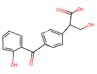 O=C(c1ccc(C(CO)C(=O)O)cc1)c1ccccc1O